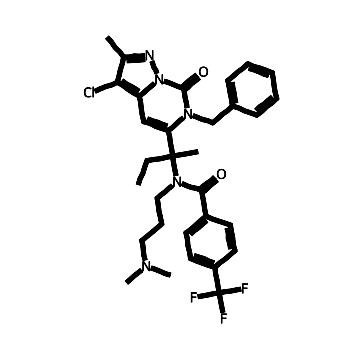 CCC(C)(c1cc2c(Cl)c(C)nn2c(=O)n1Cc1ccccc1)N(CCCN(C)C)C(=O)c1ccc(C(F)(F)F)cc1